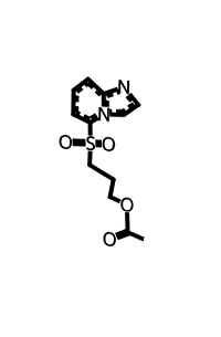 CC(=O)OCCCS(=O)(=O)c1cccc2nccn12